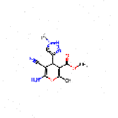 COC(=O)C1=C(C)OC(N)=C(C#N)C1c1cn(C)nn1